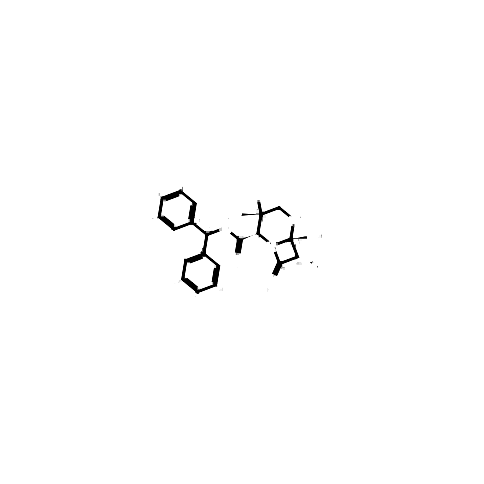 C[C@@]1(Cl)CS[C@@H]2[C@H](N)C(=O)N2[C@H]1C(=O)OC(c1ccccc1)c1ccccc1